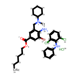 CCN(Cc1cc(C(=O)OCCCCCOC(C)=O)cc(Br)c1N)C1CCCCC1.Cl.Clc1cccc(Cl)c1Nc1ccccc1